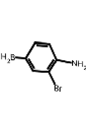 Bc1ccc(N)c(Br)c1